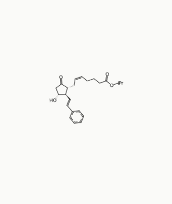 CC(C)OC(=O)CCC/C=C\C[C@H]1C(=O)C[C@@H](O)[C@@H]1/C=C/c1ccccc1